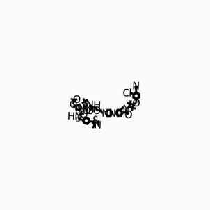 CC(=O)O[C@@H]1C[C@@H](C(=O)N[C@@H](C)c2ccc(-c3scnc3C)cc2)N(C(=O)[C@@H](NC(=O)COCCN2CCN(c3ccc4c(c3)CN(C3C(C)(C)C(Oc5ccc(C#N)c(Cl)c5)C3(C)C)C4=O)CC2)C(C)(C)C)C1